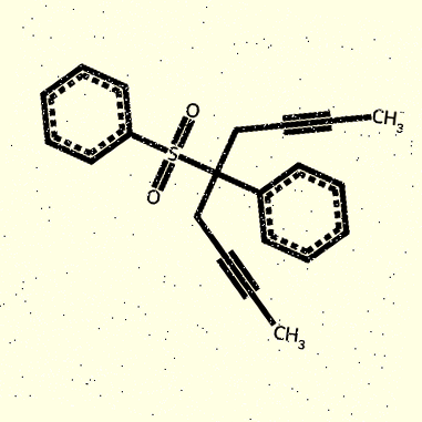 CC#CCC(CC#CC)(c1ccccc1)S(=O)(=O)c1ccccc1